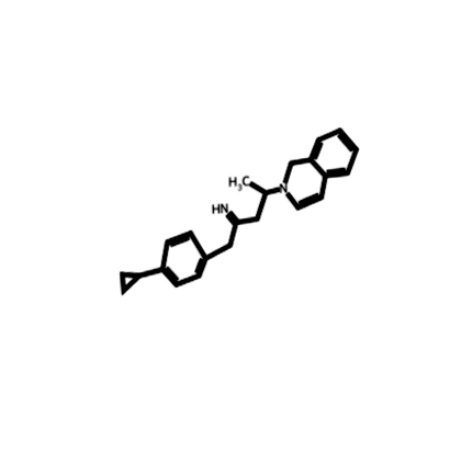 CC(CC(=N)Cc1ccc(C2CC2)cc1)N1C=Cc2ccccc2C1